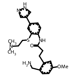 COc1ccc(CN)c(CCC(=O)Nc2ccc(-c3cn[nH]c3)cc2SCCN(C)C)c1